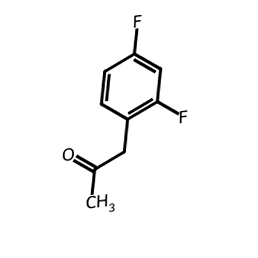 CC(=O)Cc1ccc(F)cc1F